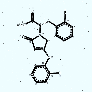 COC(=O)[C@H](Cc1ccccc1F)N1CC(Oc2ccccc2Cl)=CC1=O